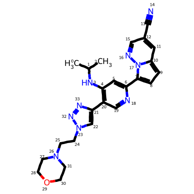 CC(C)Nc1cc(-c2ccc3cc(C#N)cnn23)ncc1-c1cn(CCN2CCOCC2)nn1